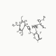 CCOC(=S)Nc1ccccc1COc1cc(C)c(CC)cc1C